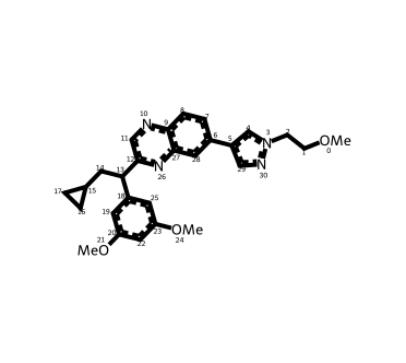 COCCn1cc(-c2ccc3ncc(C(CC4CC4)c4cc(OC)cc(OC)c4)nc3c2)cn1